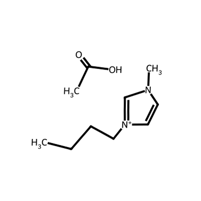 CC(=O)O.CCCC[n+]1ccn(C)c1